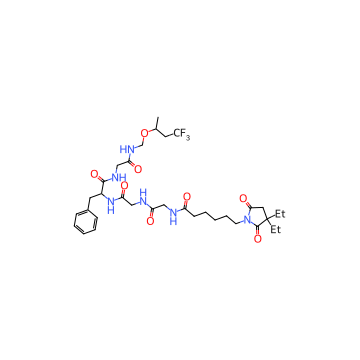 CCC1(CC)CC(=O)N(CCCCCC(=O)NCC(=O)NCC(=O)NC(Cc2ccccc2)C(=O)NCC(=O)NCOC(C)CC(F)(F)F)C1=O